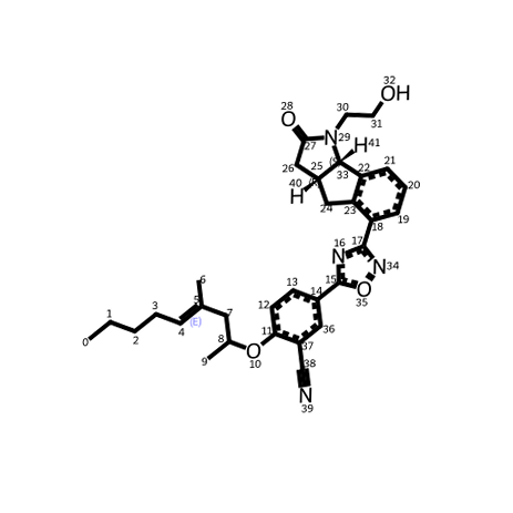 CCCC/C=C(\C)CC(C)Oc1ccc(-c2nc(-c3cccc4c3C[C@@H]3CC(=O)N(CCO)[C@H]43)no2)cc1C#N